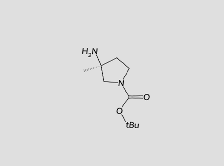 CC(C)(C)OC(=O)N1CC[C@](C)(N)C1